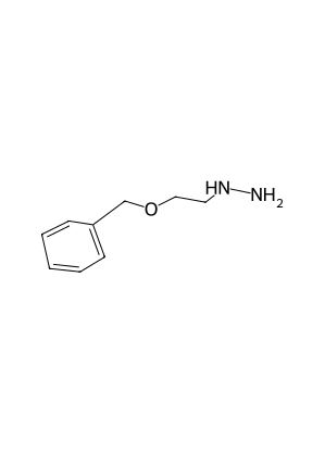 NNCCOCc1ccccc1